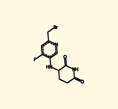 O=C1CCC(Nc2cnc(CBr)cc2F)C(=O)N1